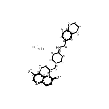 Cl.Cl.O=c1ccc2ncc(Br)c3c2n1[C@H](CN1CCC(NCc2cnc4c(c2)OCCO4)CC1)CO3